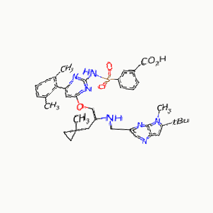 Cc1cccc(C)c1-c1cc(OCC(CC2(C)CC2)NCc2cnc3cc(C(C)(C)C)n(C)c3n2)nc(NS(=O)(=O)c2cccc(C(=O)O)c2)n1